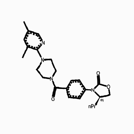 CCC[C@@H]1COC(=O)N1c1ccc(C(=O)N2CCN(c3ncc(C)cc3C)CC2)cc1